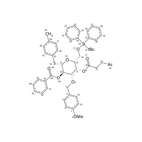 COc1ccc(CO[C@H]2[C@@H](OC(=O)CCC(C)=O)[C@@H](CO[Si](c3ccccc3)(c3ccccc3)C(C)(C)C)O[C@@H](Sc3ccc(C)cc3)[C@@H]2OC(=O)c2ccccc2)cc1